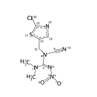 CN(C)/C(=N\[N+](=O)[O-])N(C#N)Cc1cnc(Cl)s1